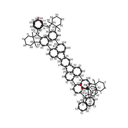 CC12CCCCC1(C)N(c1ccccc1)c1ccc(-c3ccc4c5cc6c(cc5c5ccc(-c7ccc8c(c7)C7(C)CCCCC7(C)N8c7ccccc7)c3c45)c3ccc(-c4ccc5c(c4)C4(C)CCCCC4(C)N5c4ccccc4)c4c(-c5ccc7c(c5)C5(C)CCCCC5(C)N7c5ccccc5)ccc6c43)cc12